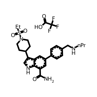 CCCNCc1ccc(-c2cc(C(N)=O)c3[nH]cc(C4CCN(S(=O)(=O)CC)CC4)c3c2)cc1.O=C(O)C(F)(F)F